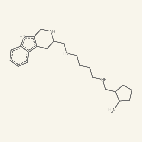 NC1CCCC1CNCCCCNCC1Cc2c([nH]c3ccccc23)CN1